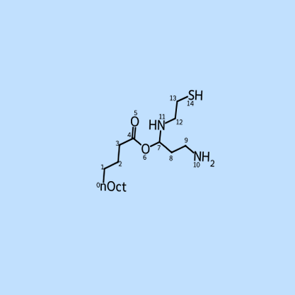 CCCCCCCCCCCC(=O)OC(CCN)NCCS